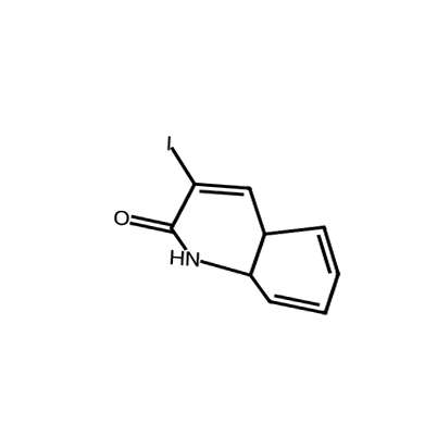 O=C1NC2C=CC=CC2C=C1I